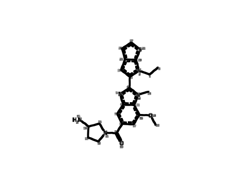 CCn1c(-c2nc3cc(C(=O)N4CCC(N)C4)cc(OC)c3n2C)cc2ccsc21